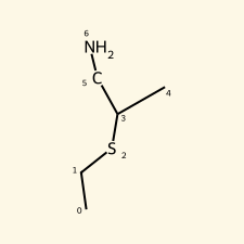 CCSC(C)CN